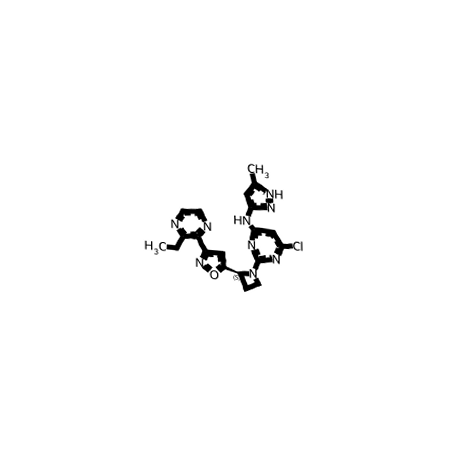 CCc1nccnc1-c1cc([C@@H]2CCN2c2nc(Cl)cc(Nc3cc(C)[nH]n3)n2)on1